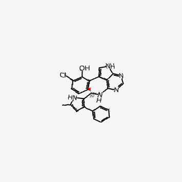 Cc1cc(-c2ccccc2)c([C@H](C)Nc2ncnc3[nH]cc(-c4cccc(Cl)c4O)c23)[nH]1